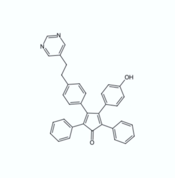 O=C1C(c2ccccc2)=C(c2ccc(O)cc2)C(c2ccc(CCc3cncnc3)cc2)=C1c1ccccc1